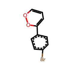 Brc1ccc(C2=CC=COO2)cc1